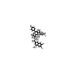 COc1cc(C(=O)NC[C@](O)(c2cc3c(c(-c4ccc(F)cc4)n2)OC[C@]3(CO)C(N)=O)C(F)(F)F)cc2cc(C)c(C)nc12